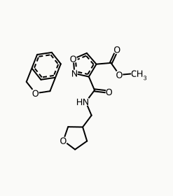 COC(=O)c1conc1C(=O)NCC1CCOC1.c1cc2cc(c1)COC2